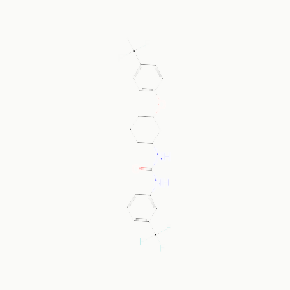 CC(F)(F)c1ccc(OC2CCCC(NC(=O)Nc3cccc(C(F)(F)F)c3)C2)cc1